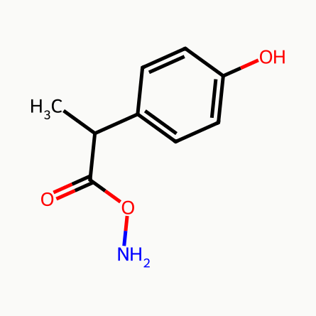 CC(C(=O)ON)c1ccc(O)cc1